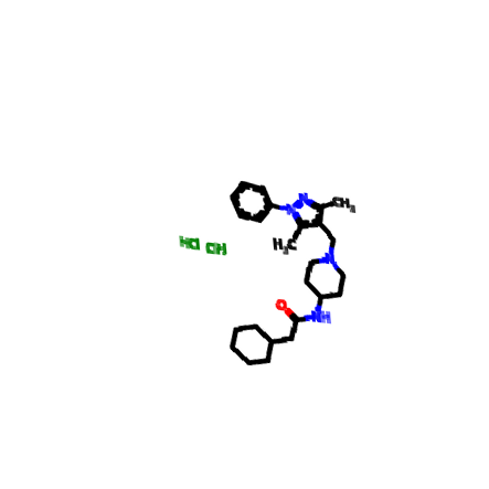 Cc1nn(-c2ccccc2)c(C)c1CN1CCC(NC(=O)CC2CCCCC2)CC1.Cl.Cl